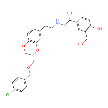 OCc1cc([C@@H](O)CNCCc2ccc3c(c2)O[C@H](COCc2ccc(Cl)cc2)CO3)ccc1O